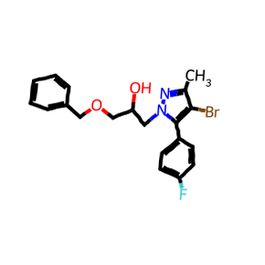 Cc1nn(CC(O)COCc2ccccc2)c(-c2ccc(F)cc2)c1Br